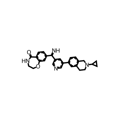 N=C(c1cncc(-c2ccc3c(c2)CCN(C2CC2)C3)c1)c1ccc2c(c1)OCCNC2=O